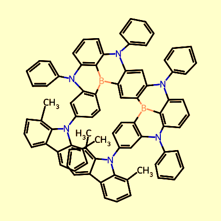 Cc1cccc2c3cccc(C)c3n(-c3ccc4c(c3)N(c3ccccc3)c3cccc5c3B4c3cc4c(cc3N5c3ccccc3)N(c3ccccc3)c3cccc5c3B4c3ccc(-n4c6c(C)cccc6c6cccc(C)c64)cc3N5c3ccccc3)c12